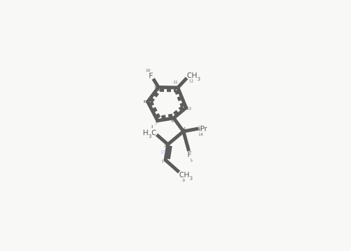 C/C=C(/C)C(F)(c1ccc(F)c(C)c1)C(C)C